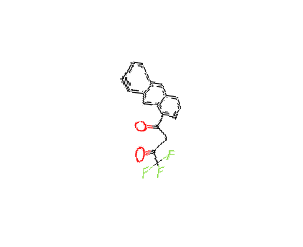 O=C(CC(=O)C(F)(F)F)c1cccc2cc3ccccc3cc12